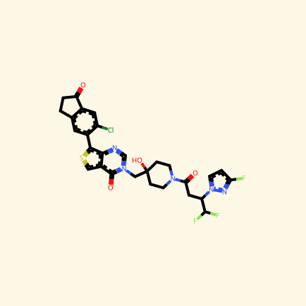 O=C1CCc2cc(-c3scc4c(=O)n(CC5(O)CCN(C(=O)CC(C(F)F)n6ccc(F)n6)CC5)cnc34)c(Cl)cc21